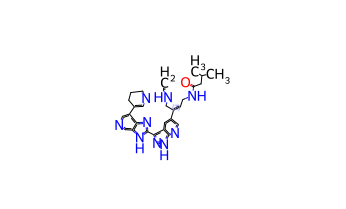 C=CNC/C(=C\CNC(=O)CC(C)C)c1cnc2[nH]nc(-c3nc4c(C5=CN=CCC5)cncc4[nH]3)c2c1